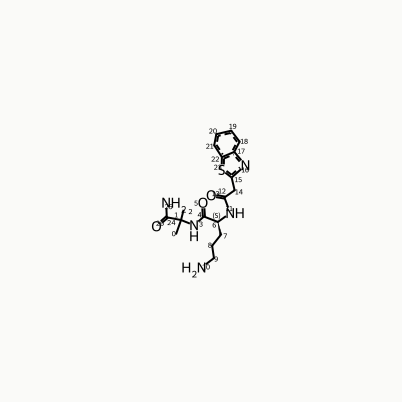 CC(C)(NC(=O)[C@H](CCCN)NC(=O)Cc1nc2ccccc2s1)C(N)=O